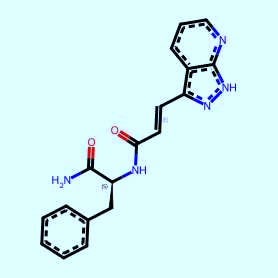 NC(=O)[C@H](Cc1ccccc1)NC(=O)/C=C/c1n[nH]c2ncccc12